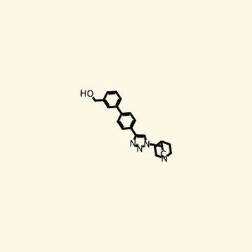 OCc1cccc(-c2ccc(-c3cn(C4CN5CCC4CC5)nn3)cc2)c1